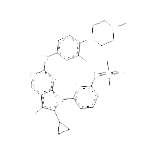 CN1CCN(c2ccc(Nc3ncc4c(F)c(C5CC5)n(-c5cccc(N=S(C)(C)=O)n5)c4n3)cc2F)CC1